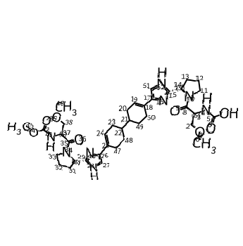 COC[C@H](NC(=O)O)C(=O)N1CCC[C@H]1c1nc(C2=CCC(C3CC=C(c4c[nH]c([C@@H]5CCCN5C(=O)[C@H](COC)NC(=O)OC)n4)CC3)CC2)c[nH]1